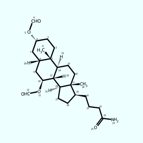 C[C@]12CC[C@@H](OC=O)C[C@H]1C[C@H](OC=O)[C@@H]1[C@@H]2CC[C@]2(C)[C@@H](CCCC(N)=O)CC[C@@H]12